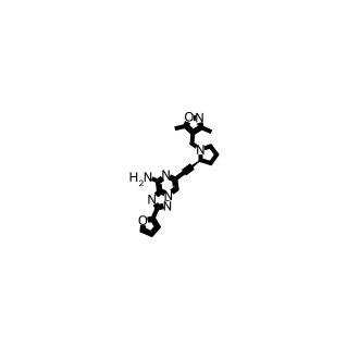 Cc1noc(C)c1CN1CCC[C@H]1C#Cc1cn2nc(-c3ccco3)nc2c(N)n1